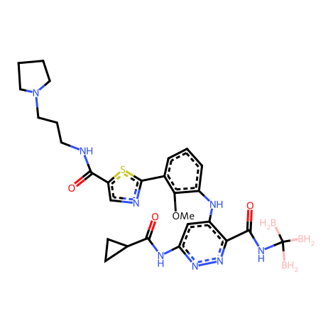 BC(B)(B)NC(=O)c1nnc(NC(=O)C2CC2)cc1Nc1cccc(-c2ncc(C(=O)NCCCN3CCCC3)s2)c1OC